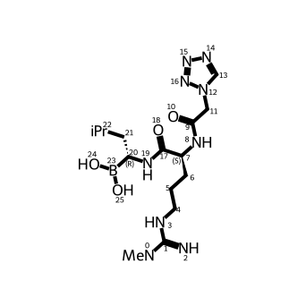 CNC(=N)NCCC[C@H](NC(=O)Cn1cnnn1)C(=O)N[C@@H](CC(C)C)B(O)O